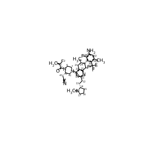 C=C(F)C(=O)N1CCN(c2nc(CC[C@@H]3CCCN3C)nc3c2C[C@@H](C)[C@H](c2c(F)c(N)cc(C)c2C(F)(F)F)C3)C[C@@H]1CC#N